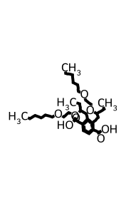 CCCCCCOCCOC(CC)Cc1c(C(=O)O)ccc(C(=O)O)c1CC(CC)OCCOCCCCCC